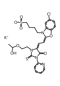 CC(O)OCCN1C(=S)N(c2ccccn2)C(=O)C1=CC=C1Oc2ccc(Cl)cc2N1CCCCS(=O)(=O)[O-].[K+]